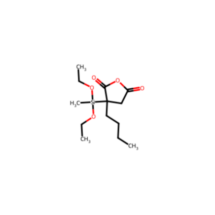 CCCCC1([Si](C)(OCC)OCC)CC(=O)OC1=O